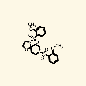 COc1ccccc1S(=O)(=O)N1CCC2(CC1)OCCN2S(=O)(=O)c1ccccc1OC